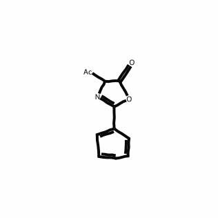 CC(=O)C1N=C(c2ccccc2)OC1=O